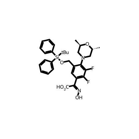 C[C@@H]1CN(c2c(CO[Si](c3ccccc3)(c3ccccc3)C(C)(C)C)cc(C(=NO)C(=O)O)c(F)c2F)C[C@@H](C)O1